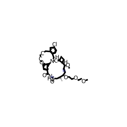 COCCOCCO[C@H]1/C=C/[C@H](OC)[C@@H]2CC[C@H]2CN2Cc3ccc(Cl)cc3CCCCOc3ccc(cc32)C(=O)/N=[SH](=O)\C[C@H]1C